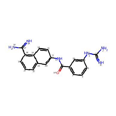 N=C(N)Nc1cccc(C(=O)Nc2ccc3c(C(=N)N)cccc3c2)c1